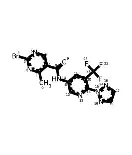 Cc1nc(Br)ncc1C(=O)Nc1cnc(-n2nccn2)c(C(F)(F)F)c1